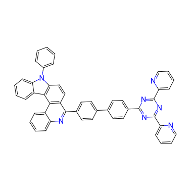 c1ccc(-n2c3ccccc3c3c4c(ccc32)c(-c2ccc(-c3ccc(-c5nc(-c6ccccn6)nc(-c6ccccn6)n5)cc3)cc2)nc2ccccc24)cc1